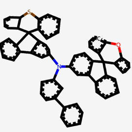 C1=CC2Sc3ccccc3C3(c4ccccc4-c4cc(N(c5cccc(-c6ccccc6)c5)c5ccc6c(c5)-c5ccccc5C65c6ccccc6Oc6ccccc65)ccc43)C2C=C1